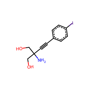 NC(C#Cc1ccc(I)cc1)(CO)CO